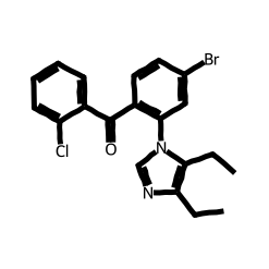 CCc1ncn(-c2cc(Br)ccc2C(=O)c2ccccc2Cl)c1CC